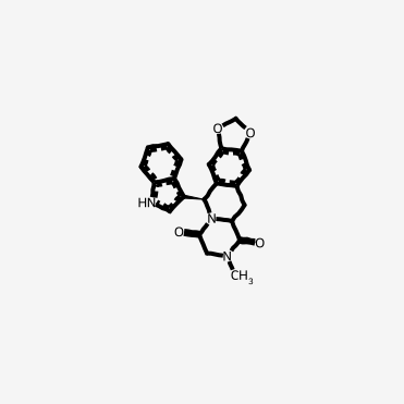 CN1CC(=O)N2C(Cc3cc4c(cc3[C@@H]2c2c[nH]c3ccccc23)OCO4)C1=O